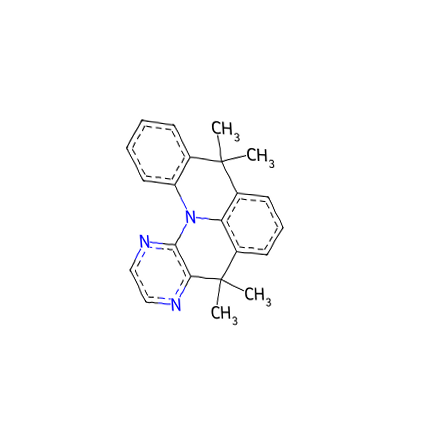 CC1(C)c2ccccc2N2c3nccnc3C(C)(C)c3cccc1c32